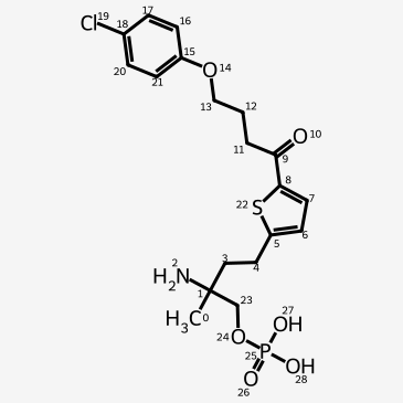 CC(N)(CCc1ccc(C(=O)CCCOc2ccc(Cl)cc2)s1)COP(=O)(O)O